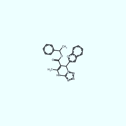 CC1=C(C(=O)OC(C)c2ccccc2)C(c2cc3ccccc3o2)n2nnnc2N1